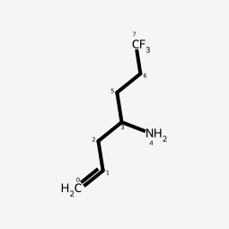 C=CCC(N)CCC(F)(F)F